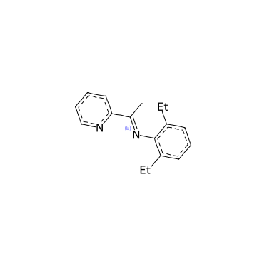 CCc1cccc(CC)c1/N=C(\C)c1ccccn1